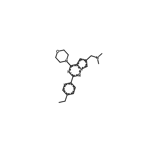 CCc1c[c]c(-c2nc(N3CCOCC3)c3cc(CN(C)C)cn3n2)cc1